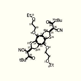 CCOCCOc1c2c(c(OCCOCC)c3c1SC(=C(C#N)C(=O)C(C)(C)C)S3)SC(=C(C#N)C(=O)C(C)(C)C)S2